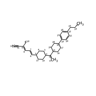 C=C(C1CCC(C=CC=C(F)C#N)CC1)C1CCC(c2ccc(CCC)cc2)CC1